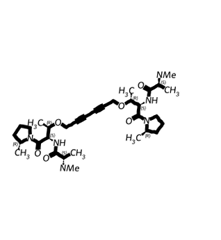 CN[C@@H](C)C(=O)N[C@H](C(=O)N1CCC[C@H]1C)[C@@H](C)OCC#CC#CCO[C@H](C)[C@H](NC(=O)[C@H](C)NC)C(=O)N1CCC[C@H]1C